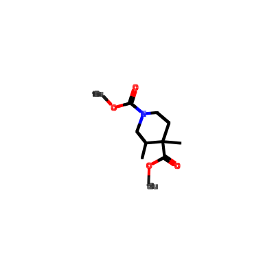 CC1CN(C(=O)OC(C)(C)C)CCC1(C)C(=O)OC(C)(C)C